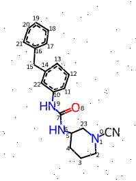 N#CN1CCCC(NC(=O)Nc2cccc(Cc3ccccc3)c2)C1